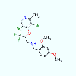 COc1ccc(CNCC(Oc2c(Br)cnc(C)c2Br)C(F)(F)F)c(OC)c1